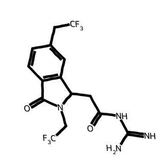 N=C(N)NC(=O)CC1c2cc(CC(F)(F)F)ccc2C(=O)N1CC(F)(F)F